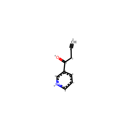 C#CCC(=O)c1cccnc1